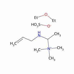 C=CCNC(C)[N+](C)(C)C.CCOCC.O=S(=O)([O-])O